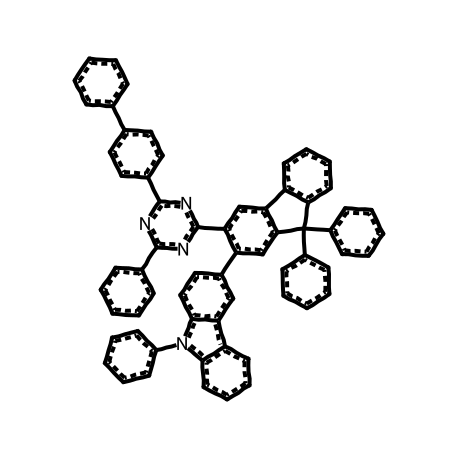 c1ccc(-c2ccc(-c3nc(-c4ccccc4)nc(-c4cc5c(cc4-c4ccc6c(c4)c4ccccc4n6-c4ccccc4)C(c4ccccc4)(c4ccccc4)c4ccccc4-5)n3)cc2)cc1